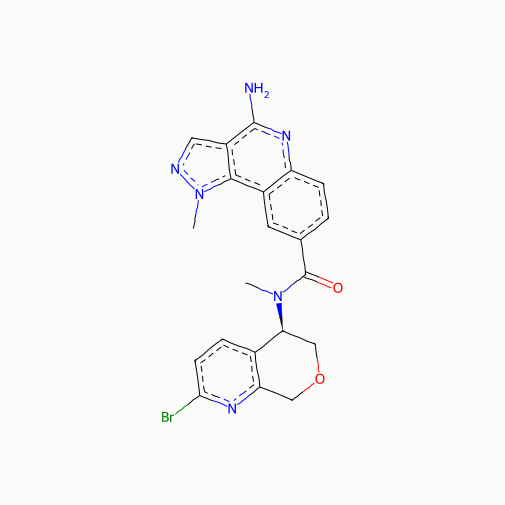 CN(C(=O)c1ccc2nc(N)c3cnn(C)c3c2c1)[C@H]1COCc2nc(Br)ccc21